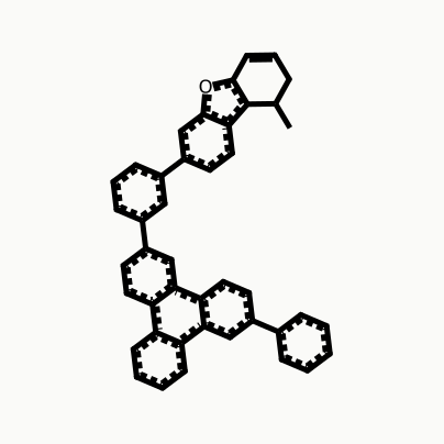 CC1CC=Cc2oc3cc(-c4cccc(-c5ccc6c7ccccc7c7cc(-c8ccccc8)ccc7c6c5)c4)ccc3c21